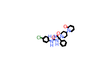 NC(=O)[C@@](NC(=O)Nc1ccc(Cl)cc1)(c1ccccc1)N1CCC(n2ccccc2=O)CC1